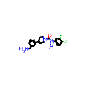 NCc1cccc(C2CCN(C(=O)Nc3ccc(Cl)c(Cl)c3)CC2)c1